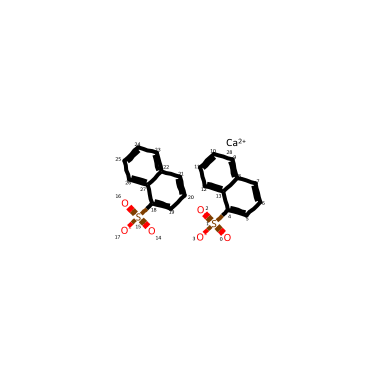 O=S(=O)([O-])c1cccc2ccccc12.O=S(=O)([O-])c1cccc2ccccc12.[Ca+2]